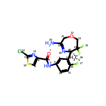 C[C@]1(c2cc(NC(=O)c3csc(Cl)n3)ccc2F)N=C(N)COCC1(F)F